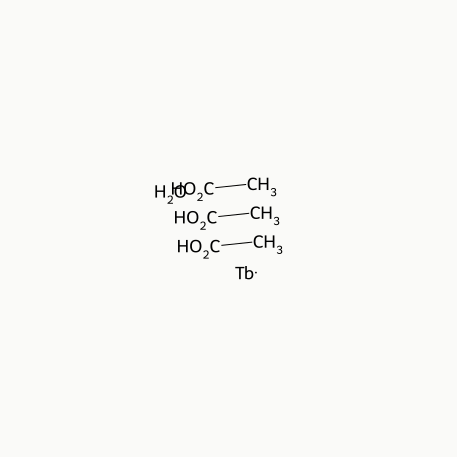 CC(=O)O.CC(=O)O.CC(=O)O.O.[Tb]